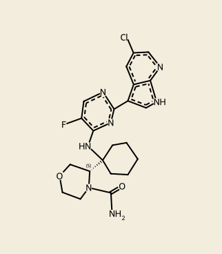 NC(=O)N1CCOC[C@@H]1C1(Nc2nc(-c3c[nH]c4ncc(Cl)cc34)ncc2F)CCCCC1